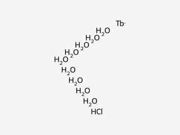 Cl.O.O.O.O.O.O.O.O.O.[Tb]